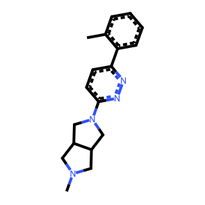 Cc1ccccc1-c1ccc(N2CC3CN(C)CC3C2)nn1